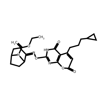 C=C(OCC)N1C2CC/C(=N/Oc3nc4oc(=O)cc(CCCC5CC5)c4c(=O)[nH]3)C1CC2